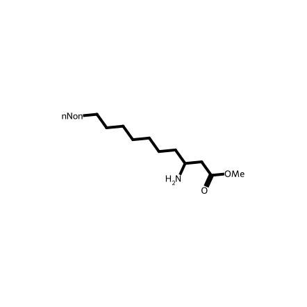 CCCCCCCCCCCCCCCCC(N)CC(=O)OC